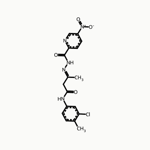 C/C(CC(=O)Nc1ccc(C)c(Cl)c1)=N\NC(=O)c1ccc([N+](=O)[O-])cn1